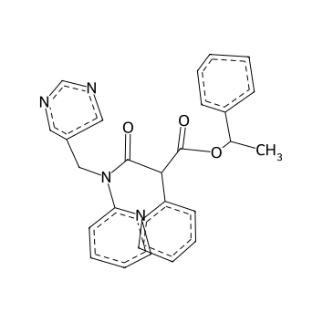 CC(OC(=O)C(C(=O)N(Cc1cncnc1)c1ccccn1)c1ccccc1)c1ccccc1